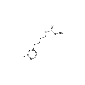 CC(C)(C)OC(=O)NCCCCc1ccnc(F)c1